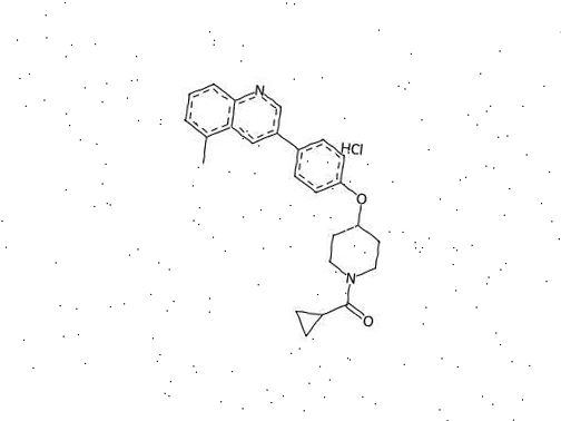 Cc1cccc2ncc(-c3ccc(OC4CCN(C(=O)C5CC5)CC4)cc3)cc12.Cl